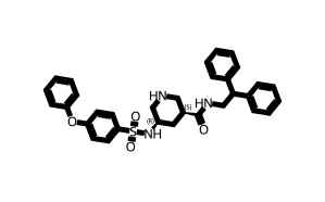 O=C(NCC(c1ccccc1)c1ccccc1)[C@@H]1CNC[C@H](NS(=O)(=O)c2ccc(Oc3ccccc3)cc2)C1